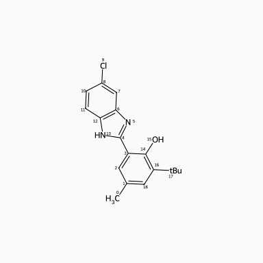 Cc1cc(-c2nc3cc(Cl)ccc3[nH]2)c(O)c(C(C)(C)C)c1